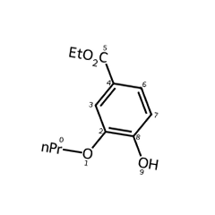 [CH2]CCOc1cc(C(=O)OCC)ccc1O